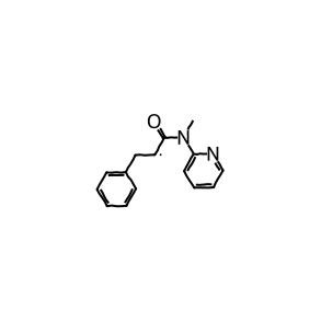 CN(C(=O)[CH]Cc1ccccc1)c1ccccn1